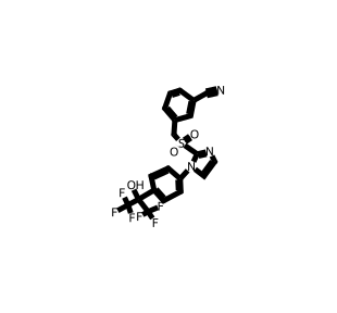 N#Cc1cccc(CS(=O)(=O)c2nccn2-c2ccc(C(O)(C(F)(F)F)C(F)(F)F)cc2)c1